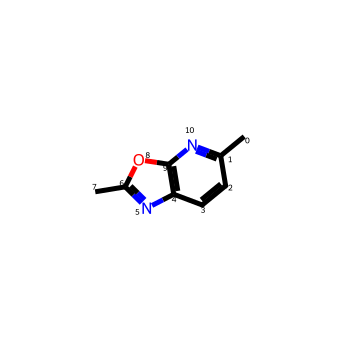 Cc1ccc2nc(C)oc2n1